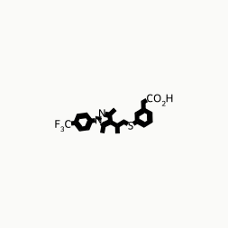 Cc1nn(-c2ccc(C(F)(F)F)cc2)c(C)c1C(C)CSc1cccc(CC(=O)O)c1